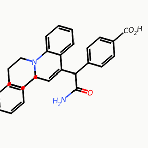 NC(=O)C(/C(=C/Cc1ccccc1)c1ccccc1N1CCCCC1)c1ccc(C(=O)O)cc1